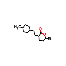 CCC1CCC(CCC2CCC(C)CC2)C(=O)O1